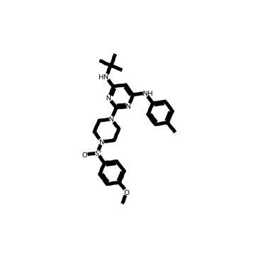 COc1ccc([S+]([O-])N2CCN(c3nc(Nc4ccc(C)cc4)cc(NC(C)(C)C)n3)CC2)cc1